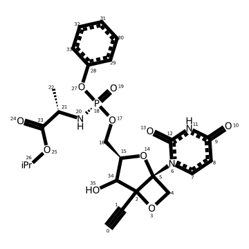 C#CC12OC[C@@]1(n1ccc(=O)[nH]c1=O)O[C@H](CO[P@@](=O)(N[C@@H](C)C(=O)OC(C)C)Oc1ccccc1)C2O